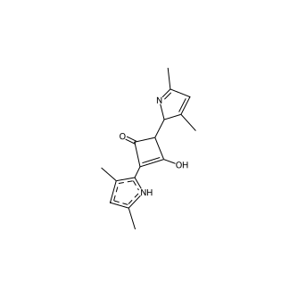 CC1=CC(C)=NC1C1C(=O)C(c2[nH]c(C)cc2C)=C1O